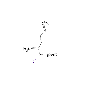 C=CCC[C@H](C)C(I)C(C)CCC